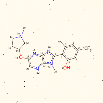 Cc1cc(C(F)(F)F)cc(O)c1-c1nc2nc(OC3CCN(C)C3)cnc2n1C